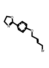 BrC/C=C/COc1ccc(C2=NCCO2)cc1